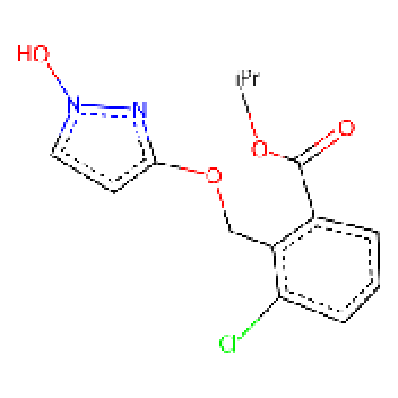 CC(C)OC(=O)c1cccc(Cl)c1COc1ccn(O)n1